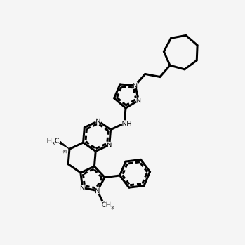 C[C@@H]1Cc2nn(C)c(-c3ccccc3)c2-c2nc(Nc3ccn(CCC4CCCCCC4)n3)ncc21